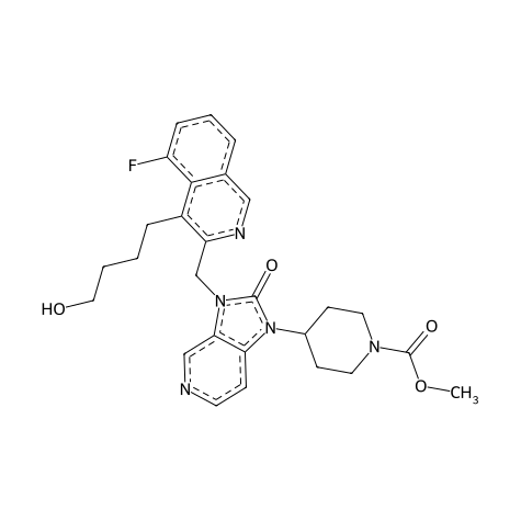 COC(=O)N1CCC(n2c(=O)n(Cc3ncc4cccc(F)c4c3CCCCO)c3cnccc32)CC1